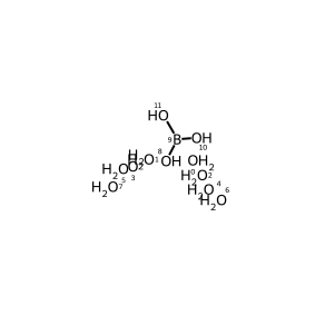 O.O.O.O.O.O.O.O.OB(O)O